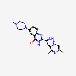 CC1=CN/C(=C\C(=N)c2nc3ccc(N4CCN(C)CC4)cc3c(=O)[nH]2)C(C)=N1